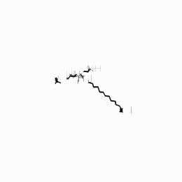 CC(=O)CSCCC(=O)N[C@@H](CCN)C(=O)NCCCCCCCCCCCCC(=O)O